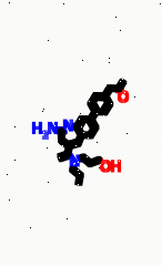 C=C(C1=CC2CC=C(c3ccc(CC(C)=O)cc3)C=C2N=C(N)C1)N(CCC)CCCO